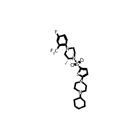 C[C@@H]1CN(c2ccc(F)cc2C(F)(F)F)CCN1S(=O)(=O)c1ccc(N2CCN(C3CCCCC3)CC2)s1